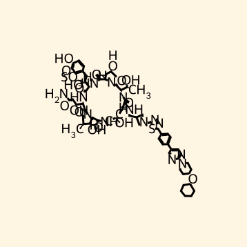 C[C@@H](O)[C@@H]1NC(=O)[C@@H](NCC2CN(c3nnc(-c4ccc(-c5cnc(N6CCC(OC7CCCCC7)CC6)nc5)cc4)s3)C2)C[C@@H](O)CNC(=O)[C@@H]2[C@@H](O)[C@@H](C)CN2C(=O)[C@H]([C@H](O)CC(N)=O)NC(=O)[C@H]([C@H](O)Cc2ccc(O)c(OS(=O)(=O)O)c2)NC(=O)[C@@H]2C[C@@H](O)CN2C1=O